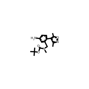 Cc1noc(C)c1-c1ccc(N)cc1CN(C)C(=O)OC(C)(C)C